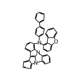 c1ccc(-c2ccc(N(c3cccc4oc5ccccc5c34)c3cccc4c5c6ccccc6n6c7ccccc7n(c34)c56)cc2)cc1